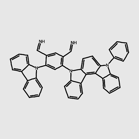 N=Cc1cc(C=N)c(-n2c3ccccc3c3c4c5ccccc5n(-c5ccccc5)c4ccc32)cc1-n1c2ccccc2c2ccccc21